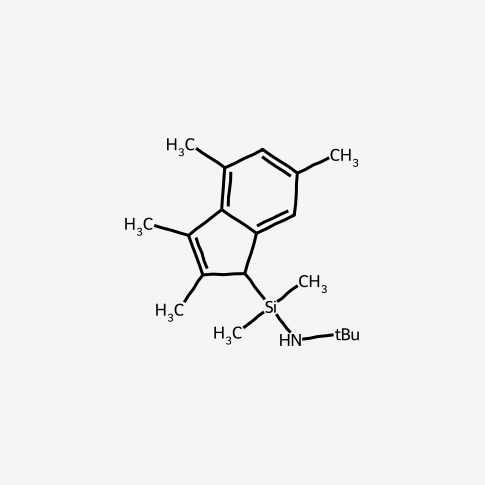 CC1=C(C)C([Si](C)(C)NC(C)(C)C)c2cc(C)cc(C)c21